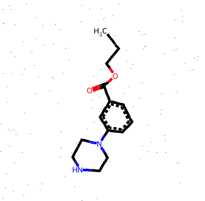 CCCOC(=O)c1cccc(N2CCNCC2)c1